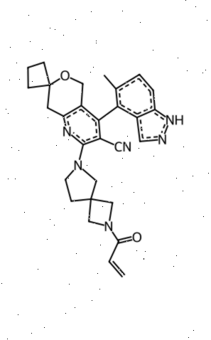 C=CC(=O)N1CC2(CCN(c3nc4c(c(-c5c(C)ccc6[nH]ncc56)c3C#N)COC3(CCC3)C4)C2)C1